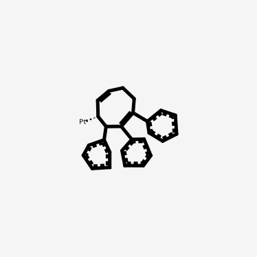 [Pt][C@@H]1/C=C\CC/C(c2ccccc2)=C(/c2ccccc2)C1c1ccccc1